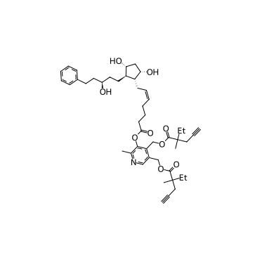 C#CCC(C)(CC)C(=O)OCc1cnc(C)c(OC(=O)CCC/C=C\C[C@@H]2[C@@H](CC[C@@H](O)CCc3ccccc3)[C@H](O)C[C@@H]2O)c1COC(=O)C(C)(CC)CC#C